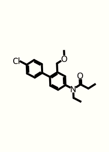 CCC(=O)N(CC)c1ccc(-c2ccc(Cl)cc2)c(COC)c1